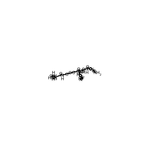 NOOSc1ccc(C(=O)NCCOC(=O)C[C@@H](NC(=O)c2ccc(C3(C(F)(F)F)N=N3)cc2)C(=O)NCCCOCCOCCOCCCNC(=O)CCCC[C@@H]2SC[C@@H]3NC(=O)N[C@@H]32)cc1